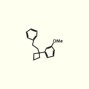 COc1cccc(C2(CCc3ccccc3)CCC2)c1